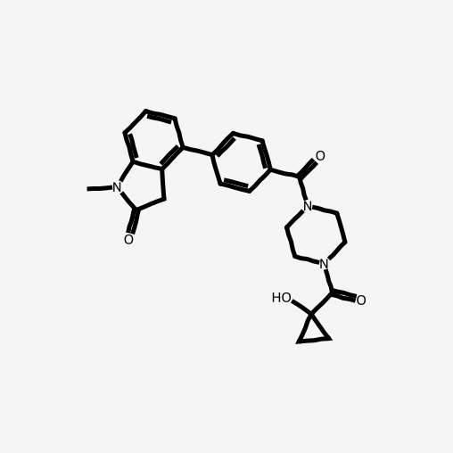 CN1C(=O)Cc2c(-c3ccc(C(=O)N4CCN(C(=O)C5(O)CC5)CC4)cc3)cccc21